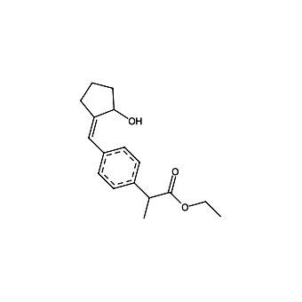 CCOC(=O)C(C)c1ccc(C=C2CCCC2O)cc1